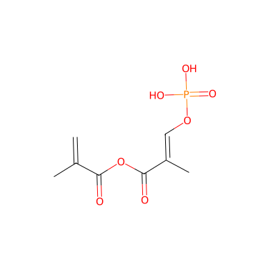 C=C(C)C(=O)OC(=O)C(C)=COP(=O)(O)O